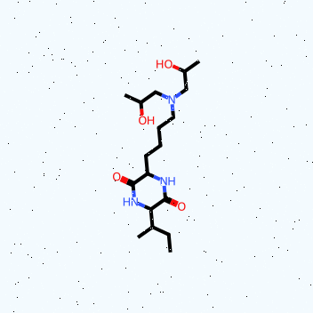 CCC(C)C1NC(=O)C(CCCCN(CC(C)O)CC(C)O)NC1=O